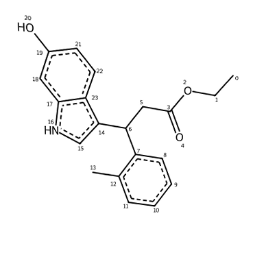 CCOC(=O)CC(c1ccccc1C)c1c[nH]c2cc(O)ccc12